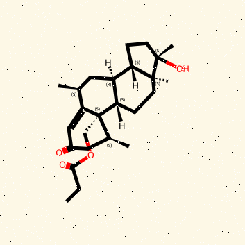 CCC(=O)OC[C@@]12C(=CC(=O)C[C@@H]1C)[C@@H](C)C[C@@H]1[C@@H]2CC[C@@]2(C)[C@H]1CC[C@]2(C)O